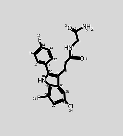 NC(=O)CNC(=O)CCc1c(-c2ccc(F)cc2)[nH]c2c(F)cc(Cl)cc12